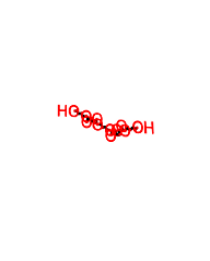 O=C(CCC(=O)OCCCCOC(=O)c1ccc(C(=O)OCCCCO)o1)OCCCCO